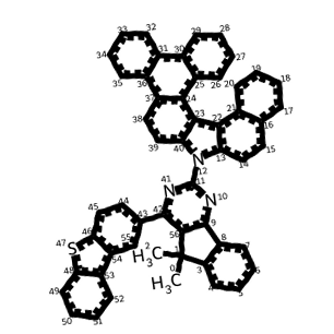 CC1(C)c2ccccc2-c2nc(-n3c4ccc5ccccc5c4c4c5c6ccccc6c6ccccc6c5ccc43)nc(-c3ccc4sc5ccccc5c4c3)c21